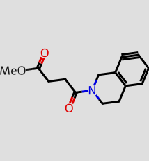 COC(=O)CCC(=O)N1CCc2ccc#cc2C1